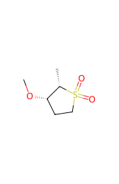 CO[C@H]1CCS(=O)(=O)[C@H]1C